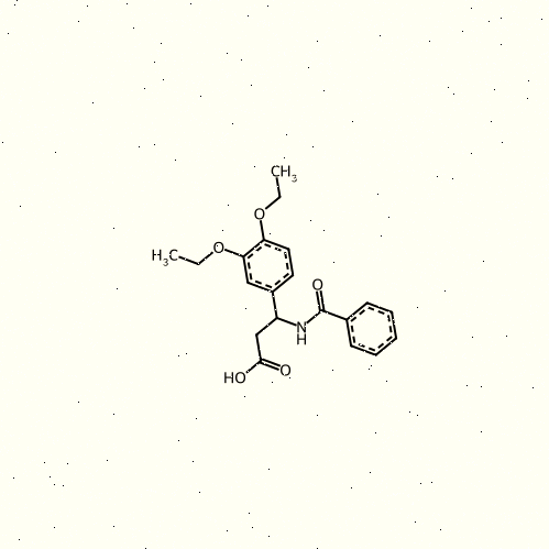 CCOc1ccc(C(CC(=O)O)NC(=O)c2ccccc2)cc1OCC